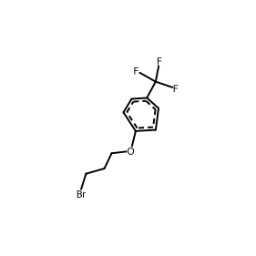 FC(F)(F)c1ccc(OCCCBr)cc1